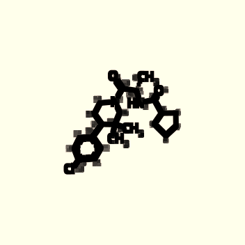 C[C@H](NC(=O)C1CCCC1)C(=O)N1CCC(c2ccc(Cl)cc2)C(C)(C)C1